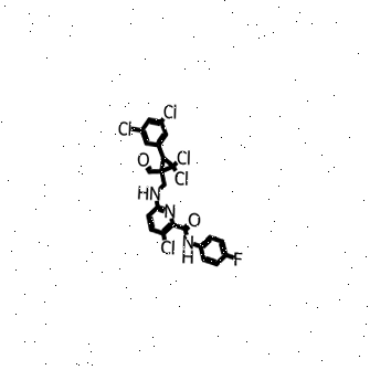 O=CC1(CNc2ccc(Cl)c(C(=O)Nc3ccc(F)cc3)n2)C(c2cc(Cl)cc(Cl)c2)C1(Cl)Cl